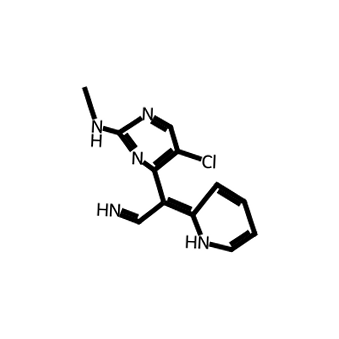 CNc1ncc(Cl)c(/C(C=N)=C2\C=CC=CN2)n1